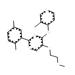 COCCOc1cnc(-c2cc(Cl)ccc2F)nc1Nc1ccncc1C